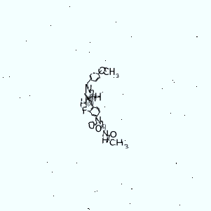 CCC(=O)NC[C@H]1CN(c2ccc([C@H]3[C@@H]4CN(Cc5ccc(OC)cc5)C[C@@H]43)c(F)c2)C(=O)O1